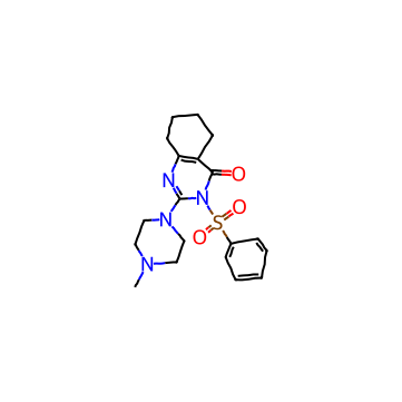 CN1CCN(c2nc3c(c(=O)n2S(=O)(=O)c2ccccc2)CCCC3)CC1